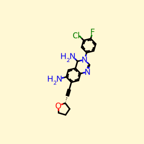 Nc1cc2c(cc1C#C[C@@H]1CCCO1)N=CN(c1ccc(F)c(Cl)c1)C2N